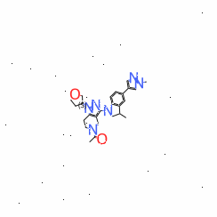 CC(=O)N1CCc2c(c(N3CC(C)c4cc(-c5cnn(C)c5)ccc43)nn2[C@H]2CCOC2)C1